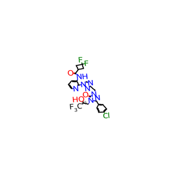 O=C(Nc1cccnc1-n1cnc(Cn2nc(-c3ccc(Cl)cc3)n(C[C@H](O)C(F)(F)F)c2=O)n1)C1CC(F)(F)C1